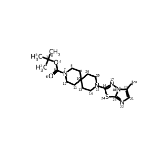 CC(C)(C)OC(=O)N1CCC2(CC1)CCN(c1nn3c(I)cnc3s1)CC2